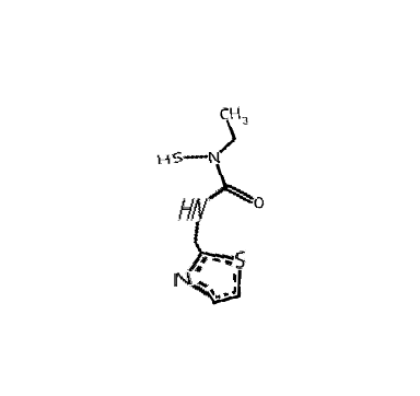 CCN(S)C(=O)Nc1nccs1